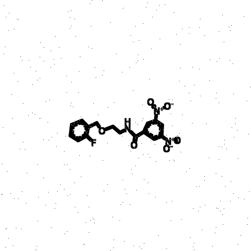 O=C(NCCOCc1ccccc1F)c1cc([N+](=O)[O-])cc([N+](=O)[O-])c1